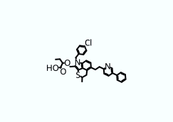 CCC(OCc1c2c3c(c(CCc4ccc(-c5ccccc5)cn4)ccc3n1Cc1ccc(Cl)cc1)CC(C)S2)C(=O)O